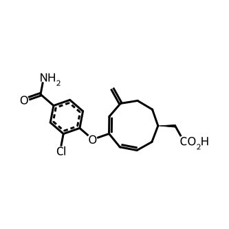 C=C1/C=C(Oc2ccc(C(N)=O)cc2Cl)\C=C/C[C@H](CC(=O)O)CC1